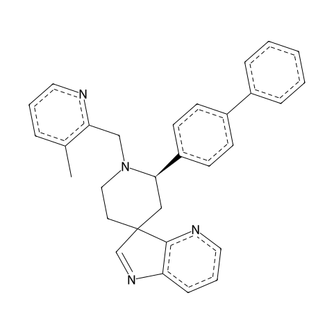 Cc1cccnc1CN1CCC2(C=Nc3cccnc32)C[C@@H]1c1ccc(-c2ccccc2)cc1